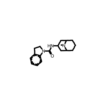 CN1C2CCCC1CC(NC(=O)N1CCc3ccccc31)C2